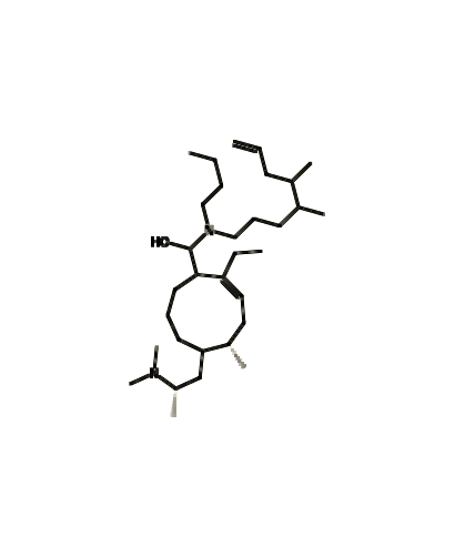 C=CCC(C)C(C)CCCN(CCCC)C(O)C1CCCC(C[C@H](C)N(C)C)[C@@H](C)CC=C1CC